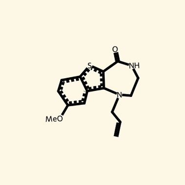 C=CCN1CCNC(=O)c2sc3ccc(OC)cc3c21